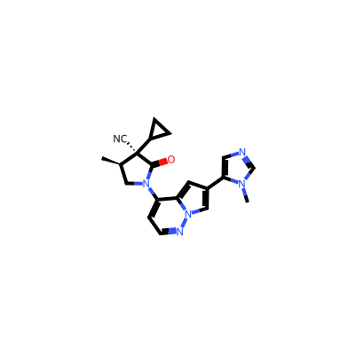 C[C@@H]1CN(c2ccnn3cc(-c4cncn4C)cc23)C(=O)[C@]1(C#N)C1CC1